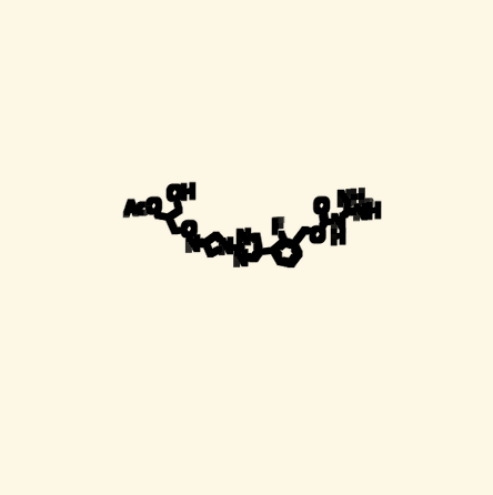 CC(=O)OCC(CO)CON=C1CN(c2ncc(-c3cccc(COC(=O)NC(=N)N)c3F)cn2)C1